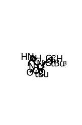 CC(C)(C)OC(=O)N1CCc2[nH]ccc2C1C1=CC(=O)CC(CO[Si](C)(C)C(C)(C)C)=N1